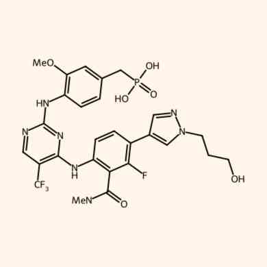 CNC(=O)c1c(Nc2nc(Nc3ccc(CP(=O)(O)O)cc3OC)ncc2C(F)(F)F)ccc(-c2cnn(CCCO)c2)c1F